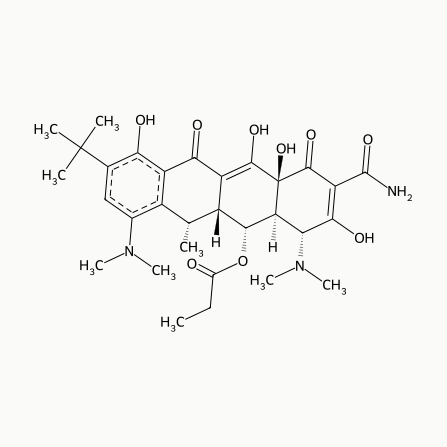 CCC(=O)O[C@@H]1[C@H]2C(=C(O)[C@]3(O)C(=O)C(C(N)=O)=C(O)[C@H](N(C)C)[C@@H]13)C(=O)c1c(O)c(C(C)(C)C)cc(N(C)C)c1[C@H]2C